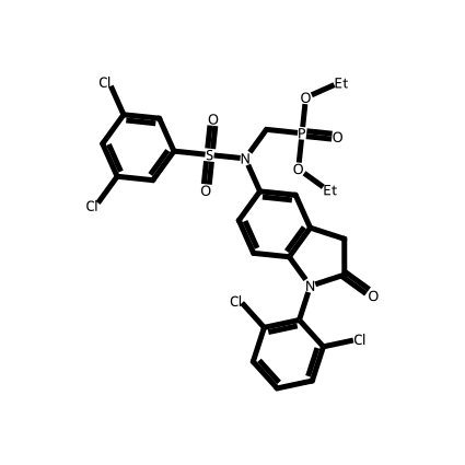 CCOP(=O)(CN(c1ccc2c(c1)CC(=O)N2c1c(Cl)cccc1Cl)S(=O)(=O)c1cc(Cl)cc(Cl)c1)OCC